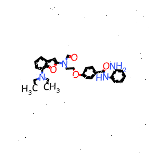 CCN(CC)c1cccc2cc(N(C=O)CCOc3ccc(C(=O)Nc4ccccc4N)cc3)oc12